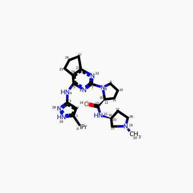 CC(C)c1cc(Nc2nc(N3CCC[C@H]3C(=O)N[C@H]3CCN(C)C3)nc3c2CCC3)n[nH]1